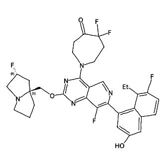 CCc1c(F)ccc2cc(O)cc(-c3ncc4c(N5CCC(=O)C(F)(F)CC5)nc(OC[C@@]56CCCN5C[C@H](F)C6)nc4c3F)c12